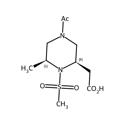 CC(=O)N1C[C@@H](CC(=O)O)N(S(C)(=O)=O)[C@@H](C)C1